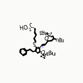 CCCCC(C)CC(/C=C/[C@@H]1C(SCCCCCC(=O)O)=C(CCc2ccccc2)C[C@H]1O[Si](C)(C)C(C)(C)C)O[Si](C)(C)C(C)(C)C